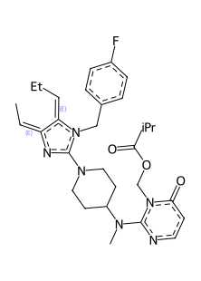 C/C=c1/nc(N2CCC(N(C)c3nccc(=O)n3COC(=O)C(C)C)CC2)n(Cc2ccc(F)cc2)/c1=C/CC